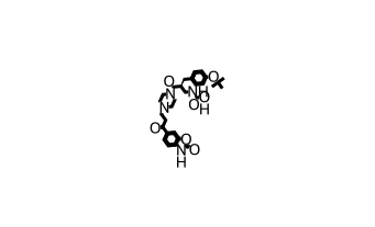 CC(C)(C)Oc1ccc(C[C@@H](CNC(=O)O)C(=O)N2CCN(CCC(=O)c3ccc4[nH]c(=O)oc4c3)CC2)cc1